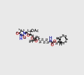 CC(=O)OC1C[C@H](n2cc(C)c(=O)[nH]c2=O)O[C@@H]1CO[Si](OCCCCCCNC(=O)OC[C@@H]1[C@@H]2CCC#CCC[C@@H]21)(C(C)C)C(C)C